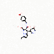 CCc1ccc2c(-c3cncc(Br)c3)c(C(=O)NCc3ccc(C(=O)O)cc3)c(COC)nn12